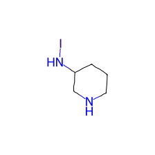 INC1CCCNC1